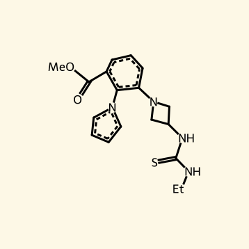 CCNC(=S)NC1CN(c2cccc(C(=O)OC)c2-n2cccc2)C1